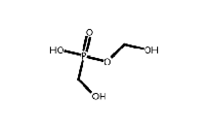 O=P(O)(CO)OCO